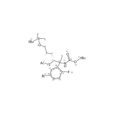 CC(=O)S[C@H](CCCO[Si](C)(C)C(C)(C)C)C(C)(NC(=O)OC(C)(C)C)c1cc(Br)ccc1F